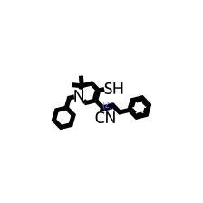 CC1(C)CC(S)=C(/C(C#N)=C/Cc2ccccc2)CN1CC1CCCCC1